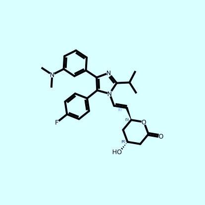 CC(C)c1nc(-c2cccc(N(C)C)c2)c(-c2ccc(F)cc2)n1/C=C/[C@@H]1C[C@@H](O)CC(=O)O1